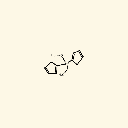 C[O][Hf]([O]C)([C]1=CC=CC1)[C]1=CC=CC1